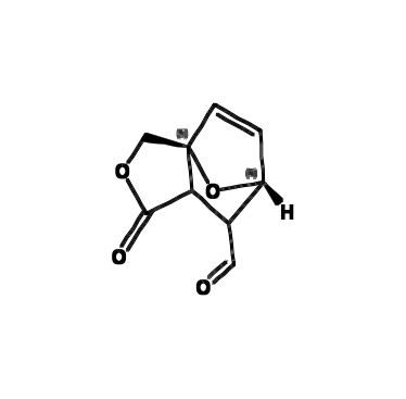 O=CC1C2C(=O)OC[C@]23C=C[C@H]1O3